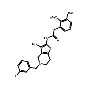 COc1cccc(CC(=O)Nc2sc3c(c2C#N)CN(Cc2cccc(F)c2)CC3)c1OC